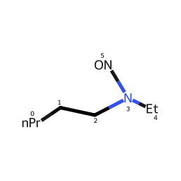 CCCCCN(CC)N=O